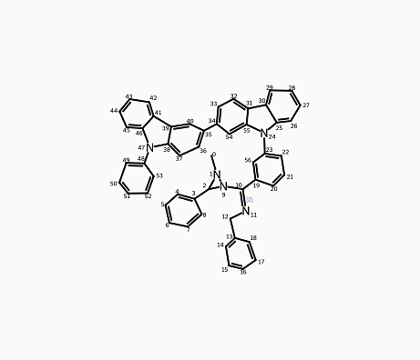 CN1C(c2ccccc2)N1/C(=N\Cc1ccccc1)c1cccc(-n2c3ccccc3c3ccc(-c4ccc5c(c4)c4ccccc4n5-c4ccccc4)cc32)c1